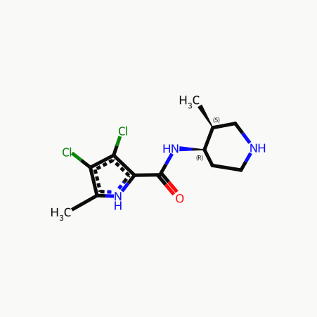 Cc1[nH]c(C(=O)N[C@@H]2CCNC[C@@H]2C)c(Cl)c1Cl